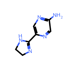 Nc1cnc(C2=NCCN2)cn1